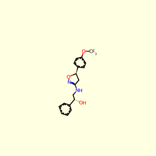 O[C@@H](CNC1=NO[C@@H](c2ccc(OC(F)(F)F)cc2)C1)c1ccccc1